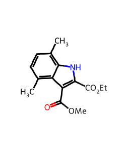 CCOC(=O)c1[nH]c2c(C)ccc(C)c2c1C(=O)OC